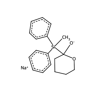 C[Si](c1ccccc1)(c1ccccc1)C1([O-])CCCCO1.[Na+]